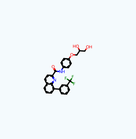 O=C(Nc1ccc(OCC(O)CO)cc1)c1ccc2cccc(-c3cccc(C(F)(F)F)c3)c2n1